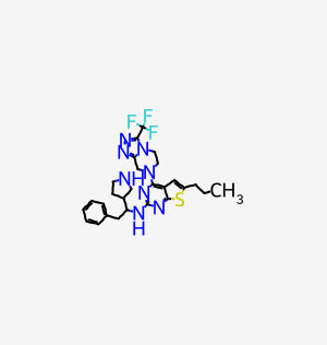 CCCc1cc2c(N3CCn4c(nnc4C(F)(F)F)C3)nc(NC(Cc3ccccc3)C3CCNC3)nc2s1